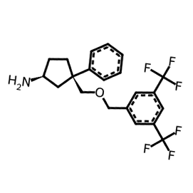 N[C@H]1CC[C@](COCc2cc(C(F)(F)F)cc(C(F)(F)F)c2)(c2ccccc2)C1